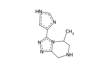 CC1CNCc2nnc(-c3c[nH]cn3)n21